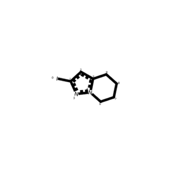 Ic1cc2n(n1)CCCC2